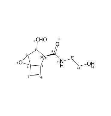 O=CC1C2OC23C=CC3[C@@H]1C(=O)NCCO